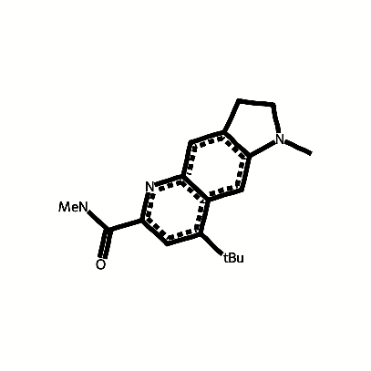 CNC(=O)c1cc(C(C)(C)C)c2cc3c(cc2n1)CCN3C